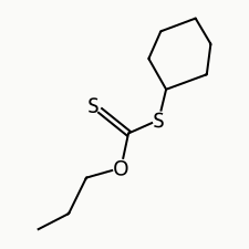 CCCOC(=S)SC1CCCCC1